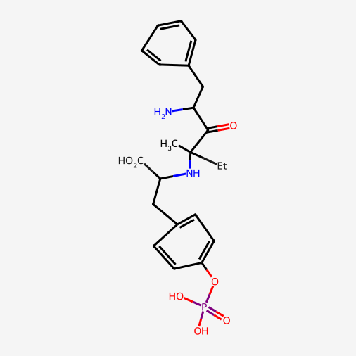 CCC(C)(NC(Cc1ccc(OP(=O)(O)O)cc1)C(=O)O)C(=O)C(N)Cc1ccccc1